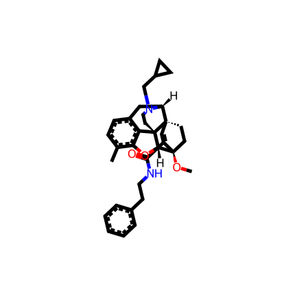 CO[C@]12CC[C@@]3(C=C1C(=O)NCCc1ccccc1)[C@H]1Cc4ccc(C)c5c4[C@@]3(CCN1CC1CC1)[C@H]2O5